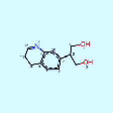 OCC(CO)c1ccc2c(c1)N=CCC2